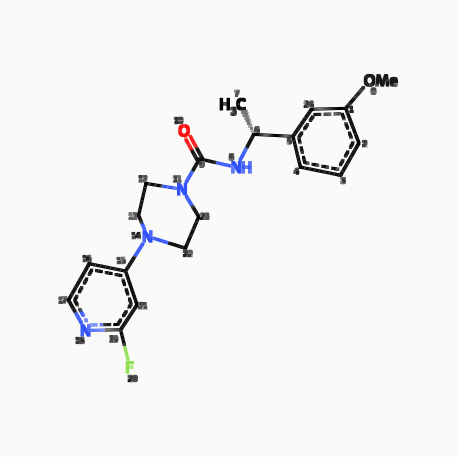 COc1cccc([C@@H](C)NC(=O)N2CCN(c3ccnc(F)c3)CC2)c1